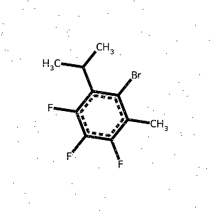 Cc1c(F)c(F)c(F)c(C(C)C)c1Br